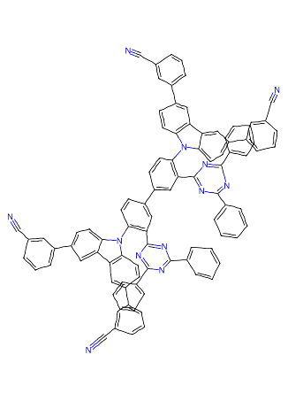 N#Cc1cccc(-c2ccc3c(c2)c2cc(-c4cccc(C#N)c4)ccc2n3-c2ccc(-c3ccc(-n4c5ccc(-c6cccc(C#N)c6)cc5c5cc(-c6cccc(C#N)c6)ccc54)c(-c4nc(-c5ccccc5)nc(-c5ccccc5)n4)c3)cc2-c2nc(-c3ccccc3)nc(-c3ccccc3)n2)c1